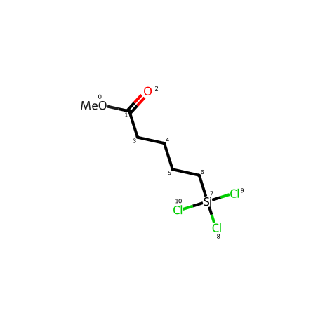 COC(=O)CCCC[Si](Cl)(Cl)Cl